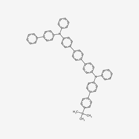 C[Si](C)(C)c1ccc(-c2ccc(N(c3ccccc3)c3ccc(-c4ccc(-c5ccc(N(c6ccccc6)c6ccc(-c7ccccc7)cc6)cc5)cc4)cc3)cc2)cc1